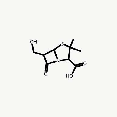 CC1(C)SC2C(CO)C(=O)N2C1C(=O)O